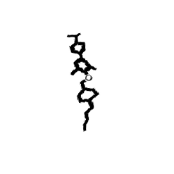 CCCCCC1CCC(COc2c(C)cc(-c3ccc(C(C)C)cc3)cc2C)CC1